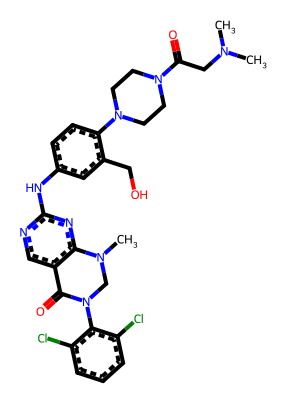 CN(C)CC(=O)N1CCN(c2ccc(Nc3ncc4c(n3)N(C)CN(c3c(Cl)cccc3Cl)C4=O)cc2CO)CC1